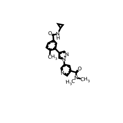 Cc1ccc(C(=O)NC2CC2)cc1-c1cnn(-c2cncc(C(=O)N(C)C)c2)c1